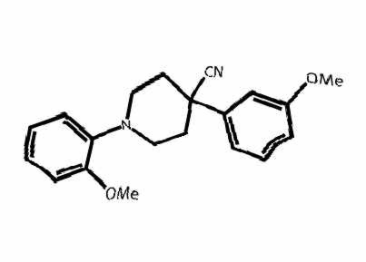 COc1cccc(C2(C#N)CCN(c3ccccc3OC)CC2)c1